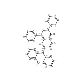 c1ccc(-c2cc(-c3ccccc3)c3cc(N4c5ccccc5Oc5ccccc54)cnc3n2)cc1